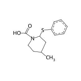 CC1CCN(C(=O)O)C(Sc2ccccc2)C1